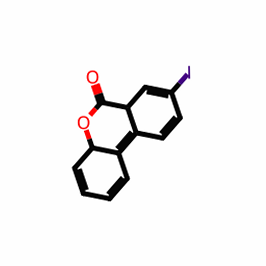 O=C1OC2C=CC=CC2=C2C=CC(I)=CC12